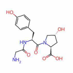 NCC(=O)N[C@@H](Cc1ccc(O)cc1)C(=O)N1C[C@H](O)C[C@H]1C(=O)O